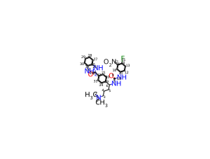 CN(C)CCCC(NC(=O)Nc1ccc(F)c([N+](=O)[O-])c1)c1ccc(C(=O)Nc2ccccc2N)cc1